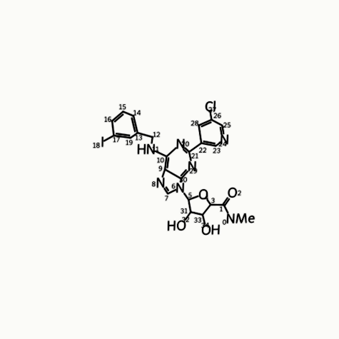 CNC(=O)C1OC(n2cnc3c(NCc4cccc(I)c4)nc(-c4cncc(Cl)c4)nc32)C(O)C1O